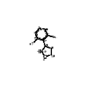 Fc1cccc(F)c1C1CCON1